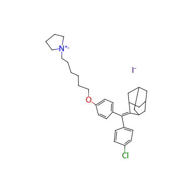 C[N+]1(CCCCCCOc2ccc(C(=C3C4CC5CC(C4)CC3C5)c3ccc(Cl)cc3)cc2)CCCC1.[I-]